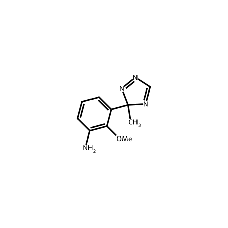 COc1c(N)cccc1C1(C)N=CN=N1